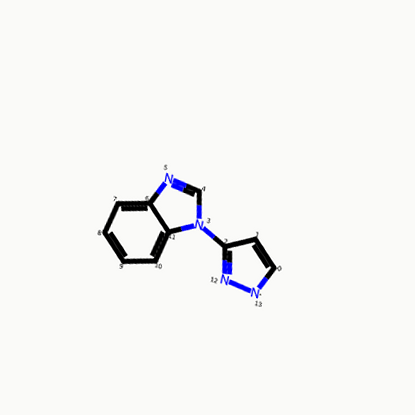 C1=CC(n2cnc3ccccc32)=N[N]1